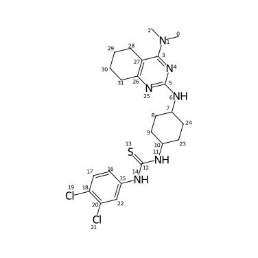 CN(C)c1nc(NC2CCC(NC(=S)Nc3ccc(Cl)c(Cl)c3)CC2)nc2c1CCCC2